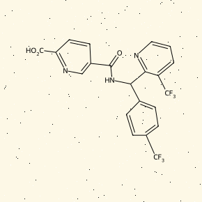 O=C(NC(c1ccc(C(F)(F)F)cc1)c1ncccc1C(F)(F)F)c1ccc(C(=O)O)nc1